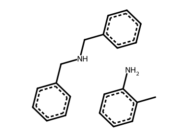 Cc1ccccc1N.c1ccc(CNCc2ccccc2)cc1